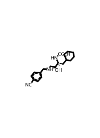 N#Cc1ccc(CNC[C@@H](O)[C@H](CC2CCCCC2)NC(=O)O)cc1